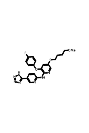 COCCCCSc1cnc(Nc2ccc(-c3nnn[nH]3)cn2)c(Oc2ccc(F)cc2)c1